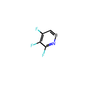 Fc1cbnc(F)c1F